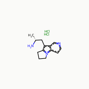 C[C@@H](N)Cc1c2n(c3ccncc13)CCC2.Cl.Cl